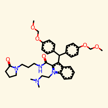 COCOc1ccc(C(c2ccc(OCOC)cc2)c2c(C(=O)NCCCN3CCCC3=O)n(CCN(C)C)c3ccccc23)cc1